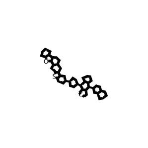 c1ccc2cc(-c3c4ccccc4c(-c4ccc(-c5ccc6sc7cc8c(ccc9c%10ccccc%10oc89)cc7c6c5)cc4)c4ccccc34)ccc2c1